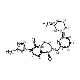 Cc1cn(-c2ccc3n(c2=O)CCN(Cc2cccc(N4CCC[C@H](C(F)(F)F)C4)n2)C3=O)cn1